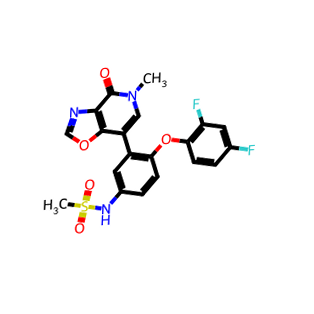 Cn1cc(-c2cc(NS(C)(=O)=O)ccc2Oc2ccc(F)cc2F)c2ocnc2c1=O